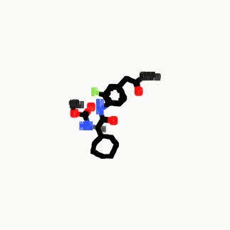 COC(=O)Cc1ccc(NC(=O)[C@@H](NC(=O)OC(C)(C)C)C2CCCCCC2)c(F)c1